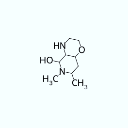 CC1CC2OCCNC2C(O)N1C